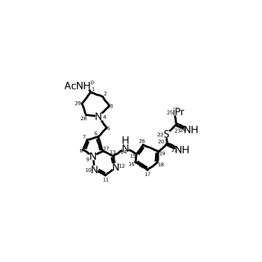 CC(=O)NC1CCN(Cc2ccn3ncnc(Nc4cccc(C(=N)SC(=N)C(C)C)c4)c23)CC1